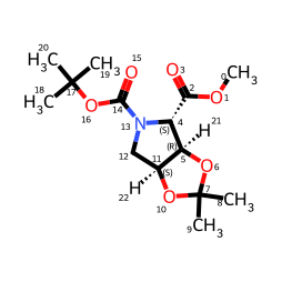 COC(=O)[C@@H]1[C@H]2OC(C)(C)O[C@H]2CN1C(=O)OC(C)(C)C